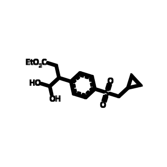 CCOC(=O)CC(c1ccc(S(=O)(=O)CC2CC2)cc1)C(O)O